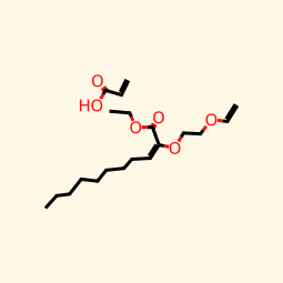 C=CC(=O)O.C=COCCOC(=CCCCCCCCC)C(=O)OCC